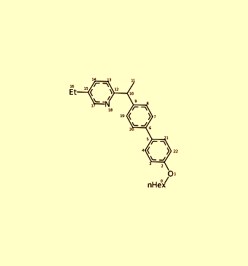 CCCCCCOc1ccc(-c2ccc(C(C)c3ccc(CC)cn3)cc2)cc1